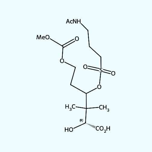 COC(=O)OCCC(OS(=O)(=O)CCCNC(C)=O)C(C)(C)[C@@H](O)C(=O)O